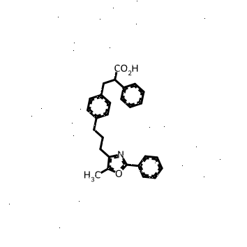 Cc1oc(-c2ccccc2)nc1CCCc1ccc(CC(C(=O)O)c2ccccc2)cc1